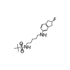 CC(C)(C)S(=O)(=O)NCCCCCNc1ccc2c(c1)CC(F)C2